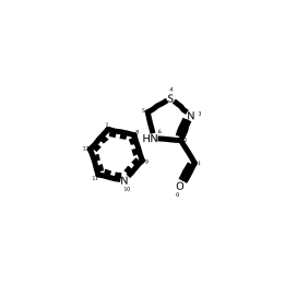 O=CC1=NSCN1.c1ccncc1